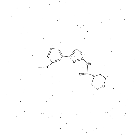 COc1cccc(-c2csc(NC(=O)N3CCOCC3)n2)c1